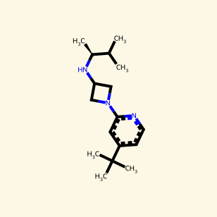 CC(C)[C@H](C)NC1CN(c2cc(C(C)(C)C)ccn2)C1